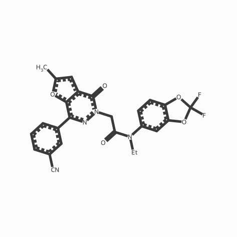 CCN(C(=O)Cn1nc(-c2cccc(C#N)c2)c2oc(C)cc2c1=O)c1ccc2c(c1)OC(F)(F)O2